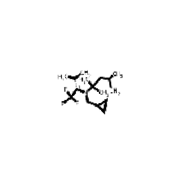 CC(C)CC(C)(C)N(CC1CC1)[C@@H](C(C)C)C(F)(F)F